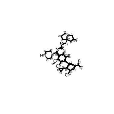 COc1c(Cl)c(-c2cc(C(F)F)cc(Cl)c2C2CC2)c(F)c2nc(OC[C@@]34CCCN3CC(F)C4)nc(N3CCNCC3)c12